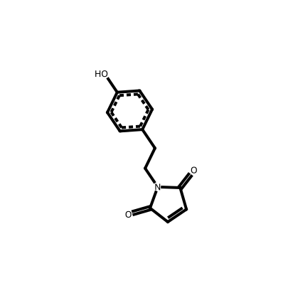 O=C1C=CC(=O)N1CCc1ccc(O)cc1